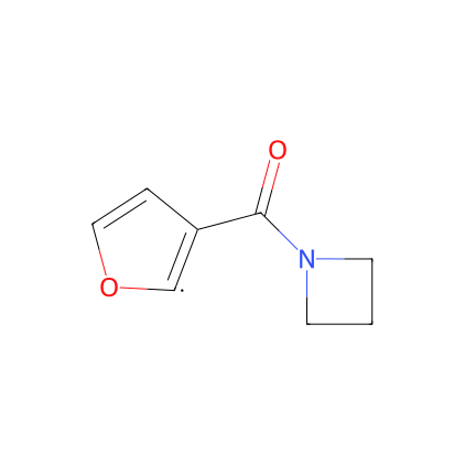 O=C(c1[c]occ1)N1CCC1